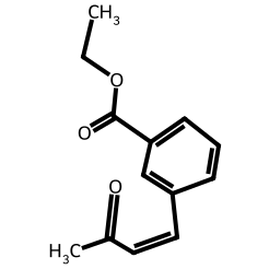 CCOC(=O)c1cccc(/C=C\C(C)=O)c1